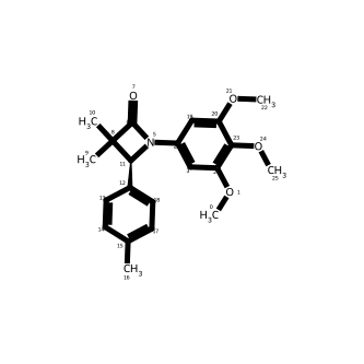 COc1cc(N2C(=O)C(C)(C)[C@@H]2c2ccc(C)cc2)cc(OC)c1OC